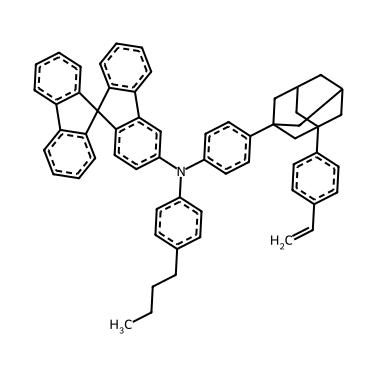 C=Cc1ccc(C23CC4CC(C2)CC(c2ccc(N(c5ccc(CCCC)cc5)c5ccc6c(c5)-c5ccccc5C65c6ccccc6-c6ccccc65)cc2)(C4)C3)cc1